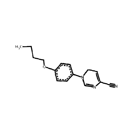 CCCCOc1ccc(N2C=NC(C#N)=CC2)cc1